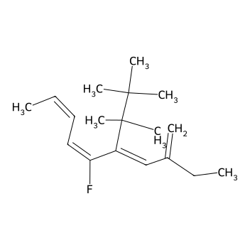 C=C(/C=C(/C(F)=C\C=C/C)C(C)(C)C(C)(C)C)CC